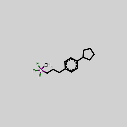 CP(F)(F)(F)CCCc1ccc(C2CCCC2)cc1